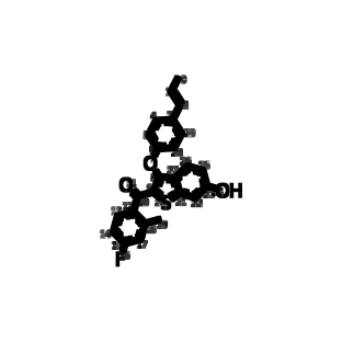 C/C=C/c1ccc(Oc2c(C(=O)c3ccc(F)cc3C)sc3cc(O)ccc23)cc1